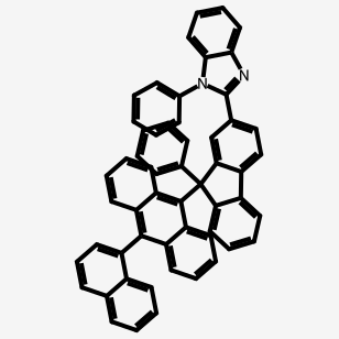 c1ccc(-n2c(-c3ccc4c(c3)C(c3ccccc3)(c3c5ccccc5c(-c5cccc6ccccc56)c5ccccc35)c3ccccc3-4)nc3ccccc32)cc1